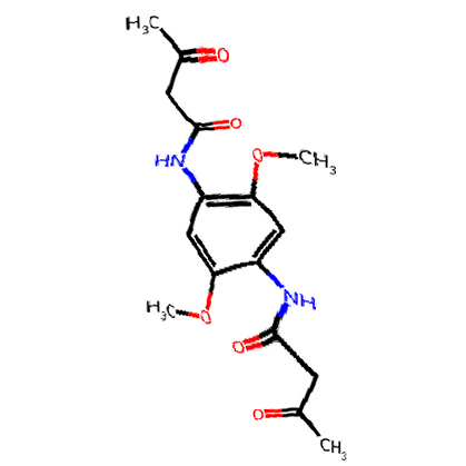 COc1cc(NC(=O)CC(C)=O)c(OC)cc1NC(=O)CC(C)=O